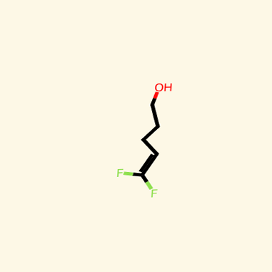 OCCCC=C(F)F